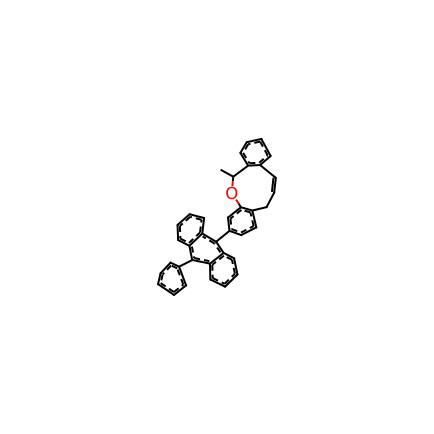 CC1Oc2cc(-c3c4ccccc4c(-c4ccccc4)c4ccccc34)ccc2C/C=C\c2ccccc21